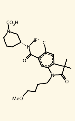 COCCCCN1C(=O)C(C)(C)c2cc(Cl)c(C(=O)N(C(C)C)[C@@H]3CCCN(C(=O)O)C3)cc21